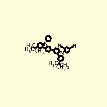 CC(C)(C)c1ccc2c(c1)c1ccc(-c3ccc4c(c3)c3cc(C(C)(C)C)ccc3n4-c3ccc(C#N)cc3C#N)cc1n2-c1ccccc1